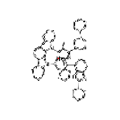 Cc1c(-c2cccc(-c3ccccc3)c2)nc(-c2ccccc2)nc1-n1c2ccccc2c2ccc3c4ccccc4n(-c4ccc(-c5cccc6nc(-c7ccccc7)oc56)cc4)c3c21